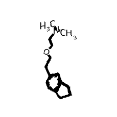 CN(C)CCOCCc1ccc2c(c1)CCC2